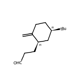 C=C1CC[C@@H](C(C)(C)C)C[C@H]1CCC=O